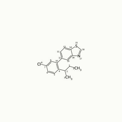 CCC(C)c1ccc(Cl)cc1-c1ccc2scnc2c1